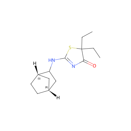 CCC1(CC)SC(NC2C[C@@H]3CC[C@H]2C3)=NC1=O